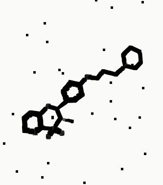 C[C@H]1[C@H](c2ccc(OCCCN3CCCCC3)cc2)Oc2cccnc2S1(=O)=O